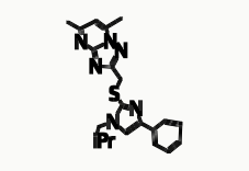 Cc1cc(C)n2nc(CSc3nc(-c4ccccc4)cn3CC(C)C)nc2n1